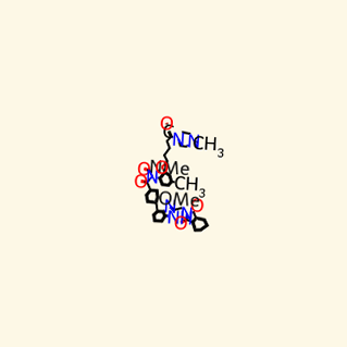 CNC(=O)N(C(=O)c1ccc(-c2cccc3[nH]c(CN4C(=O)c5ccccc5C4=O)nc23)c(OC)c1)c1ccc(C)cc1OCCCCC(=C=O)N1CCN(C)CC1